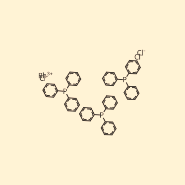 [Cl-].[Cl-].[Cl-].[Rh+3].c1ccc(P(c2ccccc2)c2ccccc2)cc1.c1ccc(P(c2ccccc2)c2ccccc2)cc1.c1ccc(P(c2ccccc2)c2ccccc2)cc1